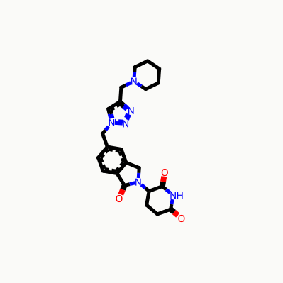 O=C1CCC(N2Cc3cc(Cn4cc(CN5CCCCC5)nn4)ccc3C2=O)C(=O)N1